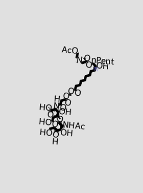 CCCCCC(OC(=O)C[N+](C)(C)CCOC(C)=O)/C(O)=C\CCCCCCCC(=O)OCOC(=O)CC(=O)N[C@@H]1C(O)[C@@H](O[C@H]2OC(CO)[C@H](O)C(O)[C@H]2NC(C)=O)C(CO)O[C@@H]1O